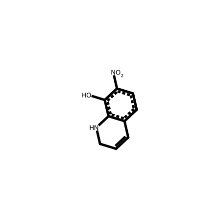 O=[N+]([O-])c1ccc2c(c1O)NCC=C2